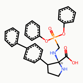 O=C(O)[C@]1(NCP(=O)(Oc2ccccc2)Oc2ccccc2)NCCC1c1ccc(-c2ccccc2)cc1